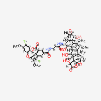 CC(=O)Oc1cc2c(cc1F)C1(OC(=O)c3cc(C(=O)NCCC(=O)N[C@H]4[C@H](O)C5C([C@H](OC(C)=O)[C@H](OC(C)=O)[C@]6(C)[C@H]7[C@H](C)[C@H]8O[C@]89OC(=O)[C@@](C)(O)[C@]9(C)[C@@H]7[C@H](O)[C@@H]56)[C@]5(C)[C@@H]4C[C@@H]4O[C@@H]4[C@@H]5O)ccc31)c1cc(F)c(OC(C)=O)cc1O2